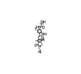 Cc1c(C=C2C(=O)Nc3cc(NC(=O)C(C)(C)O)c(F)cc32)[nH]c2c1C(=O)N(CCN(C)C)CC2